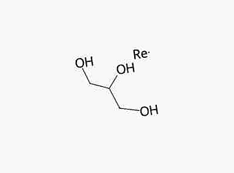 OCC(O)CO.[Re]